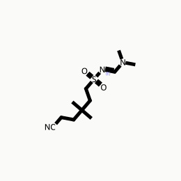 CN(C)/C=N/S(=O)(=O)CCC(C)(C)CCC#N